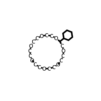 C1CCC(C2COCCOCCOCCOCCOCCOCCO2)CC1